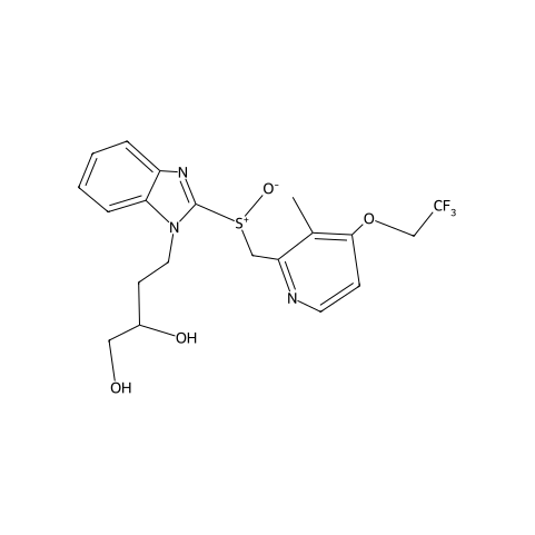 Cc1c(OCC(F)(F)F)ccnc1C[S+]([O-])c1nc2ccccc2n1CCC(O)CO